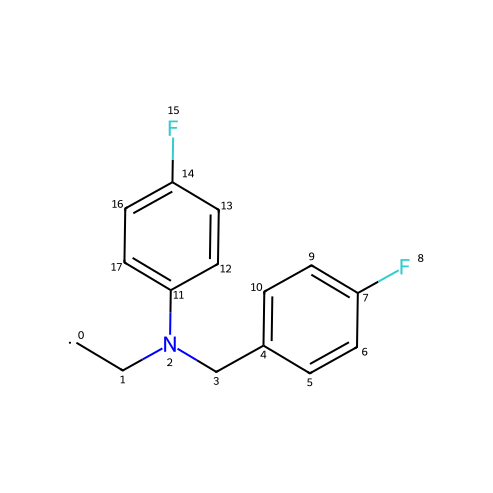 [CH2]CN(Cc1ccc(F)cc1)c1ccc(F)cc1